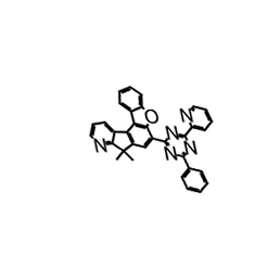 CC1(C)c2cc(-c3nc(-c4ccccc4)nc(-c4ccccn4)n3)c3oc4ccccc4c3c2-c2cccnc21